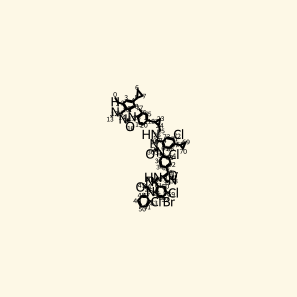 CCc1cc(C2CC2)cc2c1c(NC)nc(=O)n2-c1ccc(C2CC2CNc2nc(=O)n(-c3ccc(-c4oncc4Nc4nc(=O)n(-c5ccccc5Cl)c5cc(Br)c(Cl)cc45)cc3Cl)c3cc(C4CC4)c(Cl)cc23)cc1C